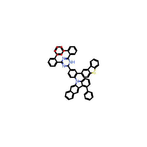 c1ccc(-c2ccccc2C2=NC(c3ccc(-n4c5cc6ccccc6cc5c5c(-c6ccccc6)cccc54)c(-c4ccc5sc6ccccc6c5c4)c3)NC(c3ccccc3-c3ccccc3)=N2)cc1